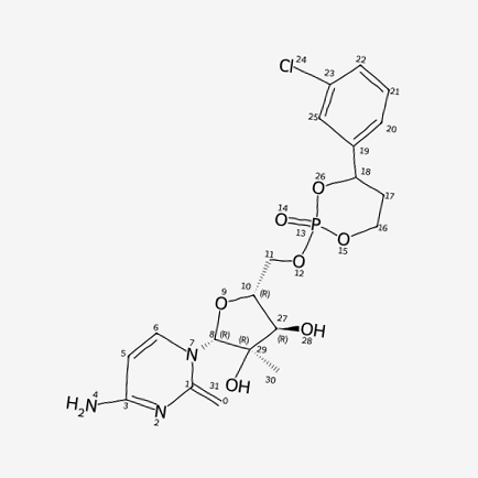 C=C1N=C(N)C=CN1[C@@H]1O[C@H](COP2(=O)OCCC(c3cccc(Cl)c3)O2)[C@@H](O)[C@@]1(C)O